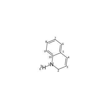 [2H]N1CC=Cc2ccccc21